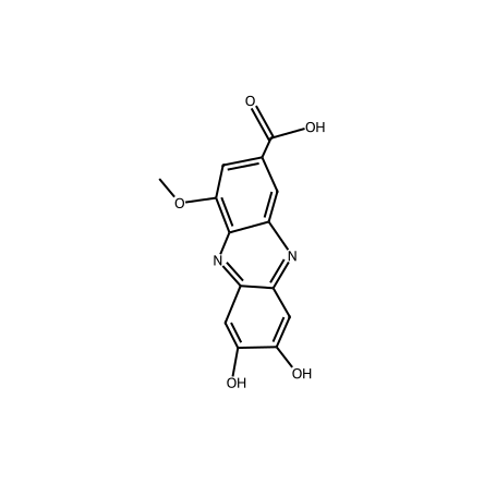 COc1cc(C(=O)O)cc2nc3cc(O)c(O)cc3nc12